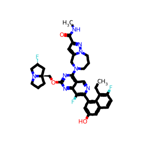 CCc1c(F)ccc2cc(O)cc(-c3ncc4c(N5CCCn6nc(C(=O)NC)cc6C5)nc(OC[C@@]56CCCN5C[C@H](F)C6)nc4c3F)c12